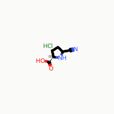 Cl.N#CC1CC[C@@H](C(=O)O)N1